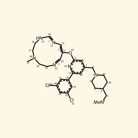 CNCC1CCN(Cc2cc(OC3=C/N=C/NCCN(C)CC/N=C\3)nc(-c3cc(Cl)cc(Cl)c3)c2)CC1